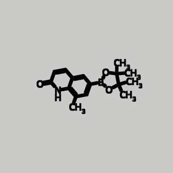 Cc1cc(B2OC(C)(C)C(C)(C)O2)cc2ccc(=O)[nH]c12